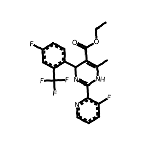 CCOC(=O)C1=C(C)NC(c2ncccc2F)=NC1c1ccc(F)cc1C(F)(F)F